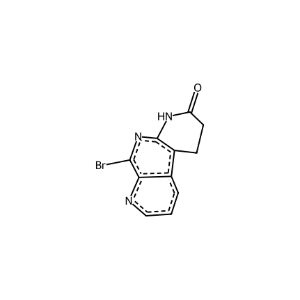 O=C1CCc2c(nc(Br)c3ncccc23)N1